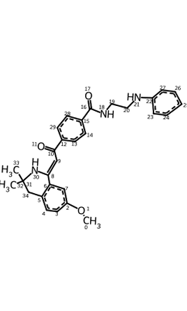 COc1ccc2c(c1)/C(=C/C(=O)c1ccc(C(=O)NCCNc3ccccc3)cc1)NC(C)(C)C2